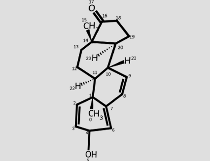 C[C@]12C=CC(O)C=C1C=C[C@@H]1[C@@H]2CC[C@]2(C)C(=O)CC[C@@H]12